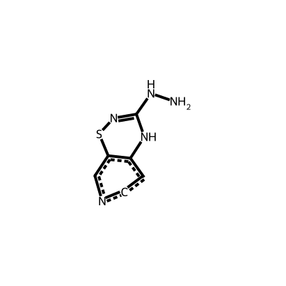 NNC1=NSc2cnccc2N1